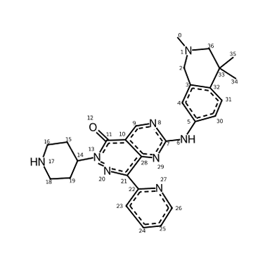 CN1Cc2cc(Nc3ncc4c(=O)n(C5CCNCC5)nc(-c5ccccn5)c4n3)ccc2C(C)(C)C1